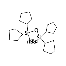 CCCC[Si](O[Si](CCCC)(C1CCCC1)C1CCCC1)(C1CCCC1)C1CCCC1